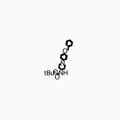 CC(C)(C)OC(=O)NC1CCN(c2ccc(OCc3ccccc3)cc2)CC1